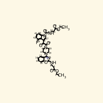 CCOC(=O)CCNC(=O)/N=C(\c1ccccc1)N1CCN(C(=O)C(=O)c2cn(C(=O)NCCC(=O)OCC)c3cccc(F)c23)CC1